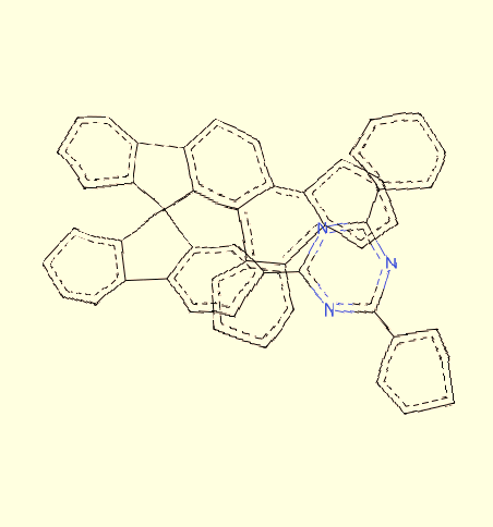 c1ccc(-c2nc(-c3ccccc3)nc(-c3ccc4c(c3)C3(c5ccccc5-4)c4ccccc4-c4ccc5c6ccccc6c6ccccc6c5c43)n2)cc1